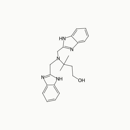 CC(C)(CCO)N(Cc1nc2ccccc2[nH]1)Cc1nc2ccccc2[nH]1